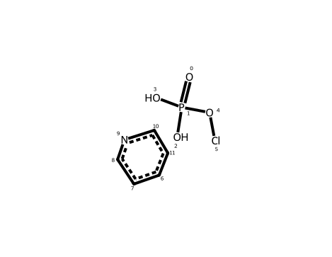 O=P(O)(O)OCl.c1ccncc1